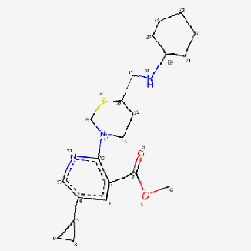 COC(=O)c1cc(C2CC2)cnc1N1CCC(CNC2CCCCC2)SC1